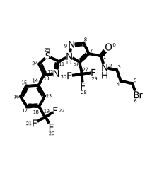 O=C(NCCCBr)c1cnn(-c2nc(-c3cccc(C(F)(F)F)c3)cs2)c1C(F)(F)F